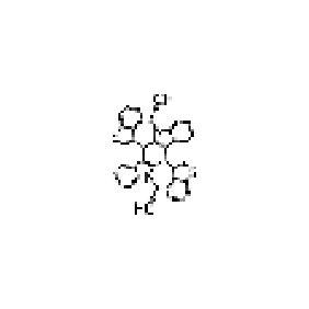 C#CCn1c2c(c3ccccc31)C(c1csc3ccccc13)c1c(c3ccccc3n1CC#C)C2c1csc2ccccc12